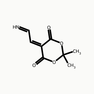 CC1(C)OC(=O)C(=CC=N)C(=O)O1